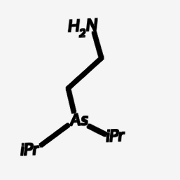 CC(C)[As](CCN)C(C)C